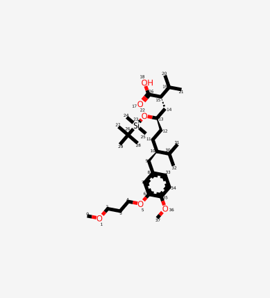 COCCCOc1cc(C[C@@H](CC[C@H](C[C@H](C(=O)O)C(C)C)O[Si](C)(C)C(C)(C)C)C(C)C)ccc1OC